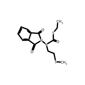 CCSC(=O)N(CCSC)N1C(=O)c2ccccc2C1=O